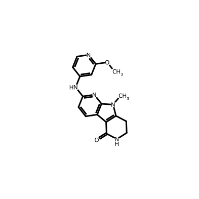 COc1cc(Nc2ccc3c4c(n(C)c3n2)CCNC4=O)ccn1